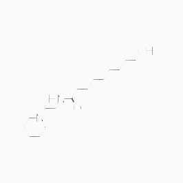 CCCCCCCCCC(=O)NCCN1CCCCC1